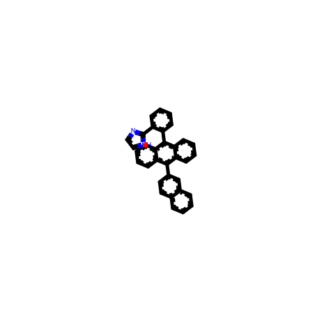 c1ccc(-c2c3ccccc3c(-c3ccc4ccccc4c3)c3ccccc23)c(-c2ncc[nH]2)c1